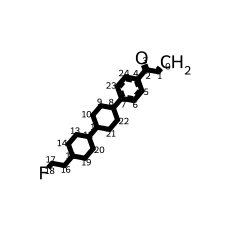 C=CC(=O)c1ccc(C2CCC(C3CCC(CCF)CC3)CC2)cc1